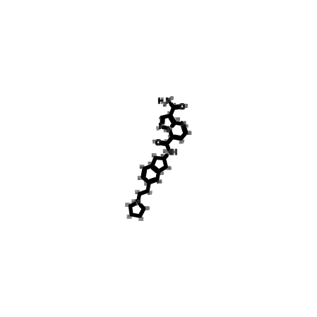 NC(=O)c1cnn2c(C(=O)NC3Cc4ccc(CCN5CCCC5)cc4C3)ccnc12